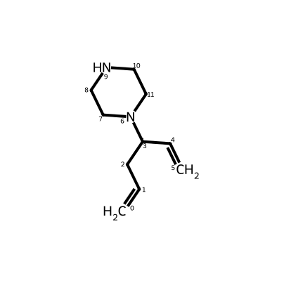 C=CC[C](C=C)N1CCNCC1